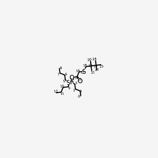 CCC[CH2][Sn]([CH2]CCC)([CH2]CCC)[O]C(=O)CSCC(C)(C)C(C)(C)C